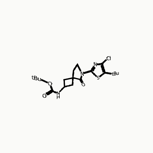 CC(C)(C)OC(=O)NC1CC2(CCN(c3nc(Cl)c(C(C)(C)C)s3)C2=O)C1